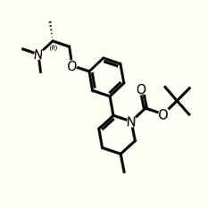 CC1CC=C(c2cccc(OC[C@@H](C)N(C)C)c2)N(C(=O)OC(C)(C)C)C1